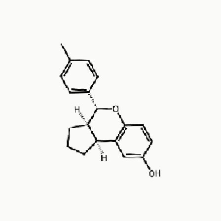 Cc1ccc([C@@H]2Oc3ccc(O)cc3[C@H]3CCC[C@H]32)cc1